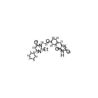 CCc1nc(-c2ccccc2)cc(=O)n1CCOc1ccc(C=C2SC(=O)NC2=O)cc1